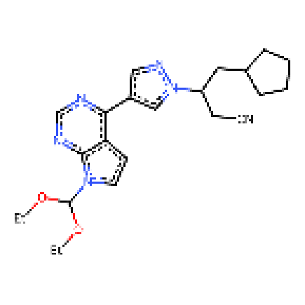 CCOC(OCC)n1ccc2c(-c3cnn(C(CC#N)CC4CCCC4)c3)ncnc21